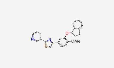 COc1ccc(-c2csc(-c3cccnc3)n2)cc1OC1CCc2ccccc21